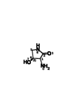 NC1C(=O)NC[C@@H]1O